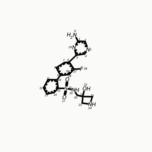 Nc1cncc(-c2ccc(-c3ccccc3S(=O)(=O)NCC3(O)CNC3)cc2F)n1